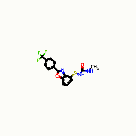 CNC(=O)NSc1cccc2oc(-c3ccc(C(F)(F)F)cc3)nc12